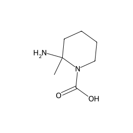 CC1(N)CCCCN1C(=O)O